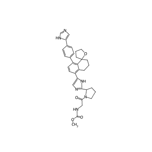 COC(=O)NCC(=O)N1CCCC1c1ncc(-c2ccc(-c3ccc(-c4cnc[nH]4)cc3)c3c2CCCC32CCCO2)[nH]1